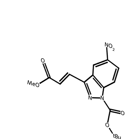 COC(=O)/C=C/c1nn(C(=O)OC(C)(C)C)c2ccc([N+](=O)[O-])cc12